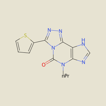 CCCn1c(=O)n2c(-c3cccs3)nnc2c2[nH]cnc21